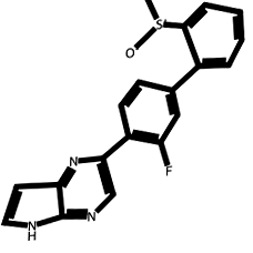 C[S+]([O-])c1ccccc1-c1ccc(-c2cnc3[nH]ccc3n2)c(F)c1